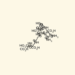 NC(=O)CN1CCN(CC(N)=O)CCN(C(CCCN[C@H](Cc2ccc(O)c(I)c2)C(=O)NC(Cc2ccccc2)C(=O)N[C@H](CCCCNC(=O)CCCCCCC(=O)NCCCCC(NC(=O)N[C@@H](CCC(=O)O)C(=O)O)C(=O)O)C(=O)O)C(=O)O)CCN(CC(N)=O)CC1